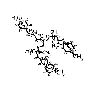 C[N+](C)(CC[N+](C)(CC[N+](C)(C)CC(O)C[N+]12CC[N+](C)(CC1)CC2)CC(O)C[N+]12CC[N+](C)(CC1)CC2)CC(O)C[N+]12CC[N+](C)(CC1)CC2